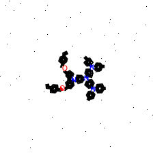 C=Cc1ccc(COCc2ccc3c(c2)c2cc(COCc4ccc(C=C)cc4)ccc2n3-c2ccc(N(c3ccc(N(c4ccc(C)cc4)c4ccc(C)cc4)cc3)c3ccc(N(c4ccc(C)cc4)c4ccc(C)cc4)cc3)cc2)cc1